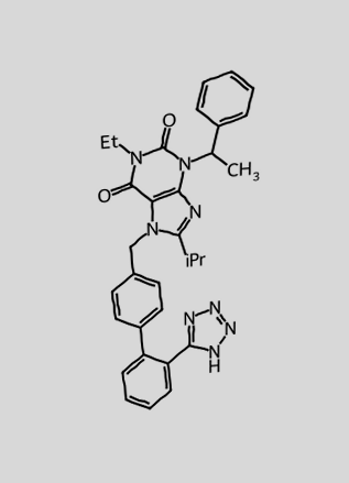 CCn1c(=O)c2c(nc(C(C)C)n2Cc2ccc(-c3ccccc3-c3nnn[nH]3)cc2)n(C(C)c2ccccc2)c1=O